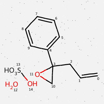 C=CCC1(c2ccccc2)CO1.O.O=S(=O)(O)O